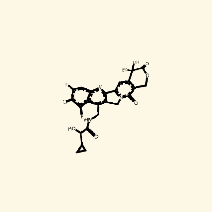 CC[C@@]1(O)C(=O)OCc2c1cc1n(c2=O)Cc2c-1nc1cc(F)c(Cl)c(F)c1c2CNC(=O)C(O)C1CC1